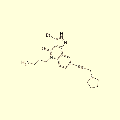 CCc1[nH]nc2c1c(=O)n(CCCN)c1ccc(C#CCN3CCCC3)cc21